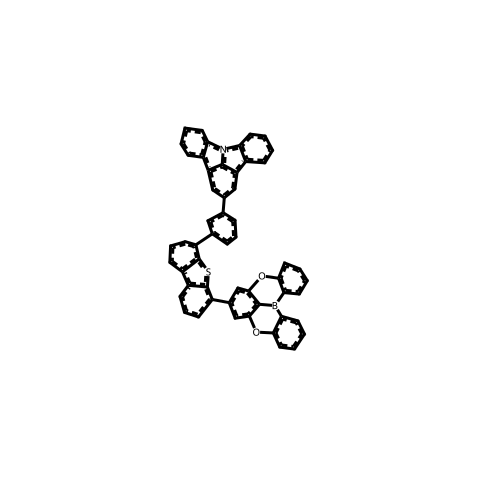 c1cc(-c2cc3c4ccccc4n4c5ccccc5c(c2)c34)cc(-c2cccc3c2sc2c(-c4cc5c6c(c4)Oc4ccccc4B6c4ccccc4O5)cccc23)c1